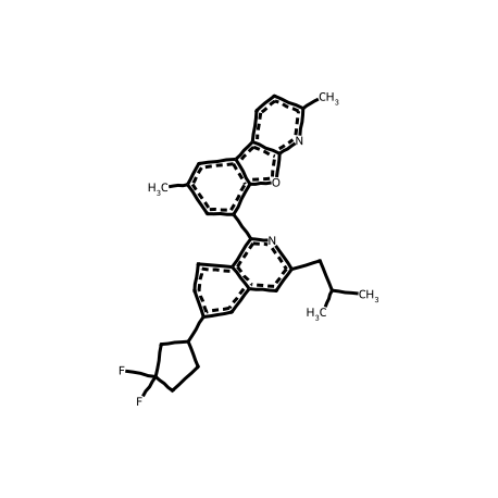 Cc1cc(-c2nc(CC(C)C)cc3cc(C4CCC(F)(F)C4)ccc23)c2oc3nc(C)ccc3c2c1